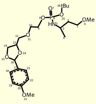 COCCC(C)NP(=O)(OCCOCC1COC(c2ccc(OC)cc2)O1)OC(C)(C)C